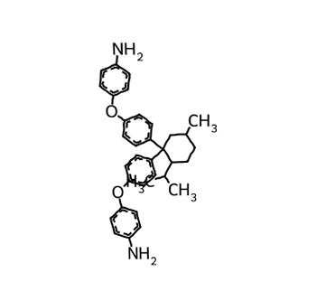 CC1CCC(C(C)C)C(c2ccc(Oc3ccc(N)cc3)cc2)(c2ccc(Oc3ccc(N)cc3)cc2)C1